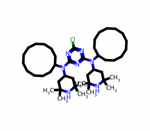 CC1(C)CC(N(c2nc(Cl)nc(N(C3CCCCCCCCCCC3)C3CC(C)(C)NC(C)(C)C3)n2)C2CCCCCCCCCCC2)CC(C)(C)N1